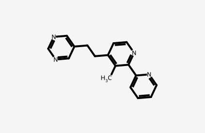 Cc1c(CCc2cncnc2)ccnc1-c1ccccn1